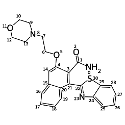 NC(=O)c1c(OCCN2CCOCC2)cc2ccccc2c1-c1nc2ccccc2s1